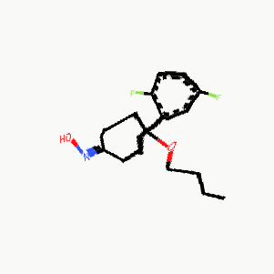 CCCCOC1(c2cc(F)ccc2F)CCC(=NO)CC1